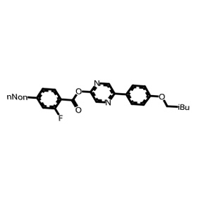 CCCCCCCCCc1ccc(C(=O)Oc2cnc(-c3ccc(OCC(C)CC)cc3)cn2)c(F)c1